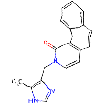 Cc1[nH]cnc1Cn1ccc2ccc3ccccc3c2c1=O